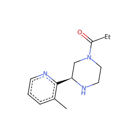 CCC(=O)N1CCN[C@@H](c2ncccc2C)C1